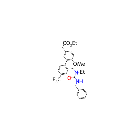 CCOC(=O)Cc1ccc(OC)c(-c2ccc(C(F)(F)F)cc2CN(CC)C(=O)NCc2ccccc2)c1